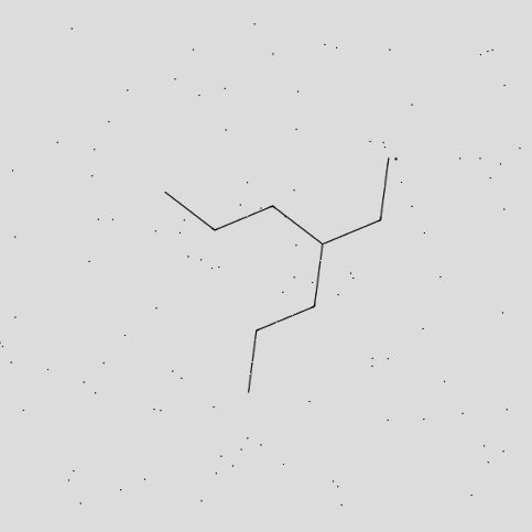 [CH2]CC(CCC)CCC